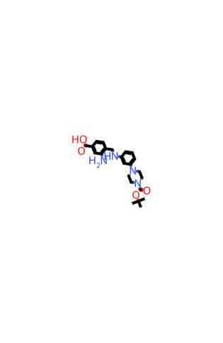 CC(C)(C)OC(=O)N1CCN(c2cccc(NCc3ccc(C(=O)O)cc3N)c2)CC1